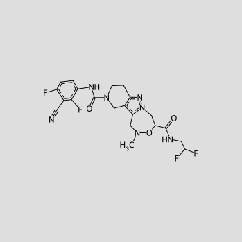 CN1Cc2c3c(nn2CC(C(=O)NCC(F)F)O1)CCN(C(=O)Nc1ccc(F)c(C#N)c1F)C3